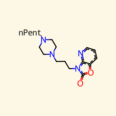 CCCCCN1CCN(CCCn2c(=O)oc3cccnc32)CC1